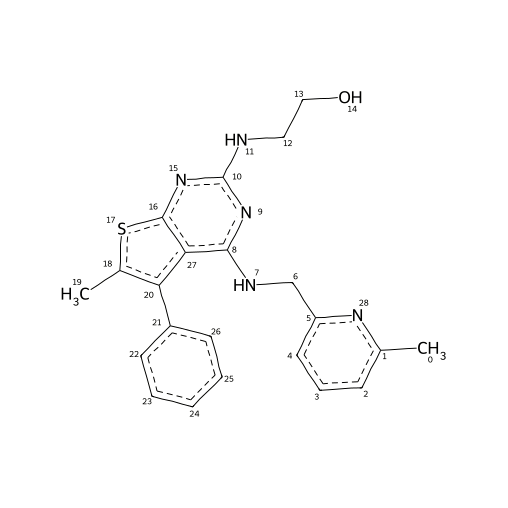 Cc1cccc(CNc2nc(NCCO)nc3sc(C)c(-c4ccccc4)c23)n1